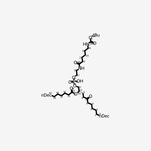 CCCCCCCCCCCCCCCC(=O)CC[C@@H](COP(=O)(O)OCCNC(=O)CCCCCNC(=O)OC(C)(C)C)OC(=O)CCCCCCCCCCCCCCC